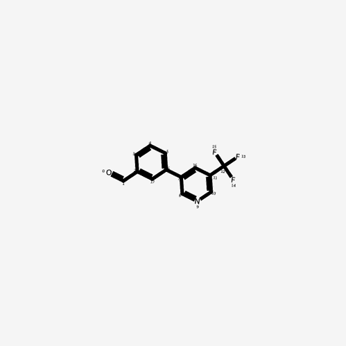 O=Cc1cccc(-c2cncc(C(F)(F)F)c2)c1